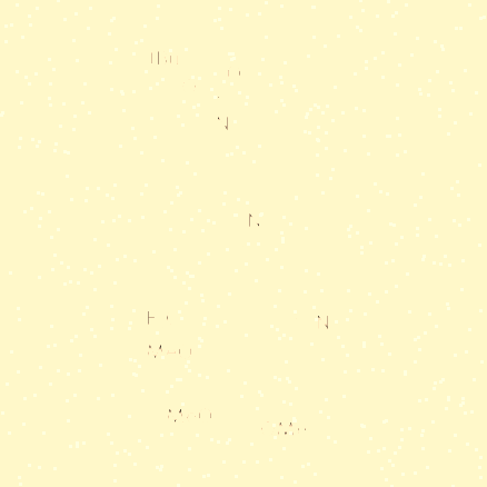 COc1cc(-c2cc(CN(c3ccc(C(F)(F)F)cc3)C3CCN(C(=O)OC(C)(C)C)CC3)ccn2)cc(OC)c1OC